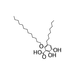 CCCCCCCCCCCCCOc1c(CCCCCCCC)cc(O)c(O)c1C(=O)O